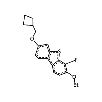 CCOc1ccc2c(sc3cc(OCC4CCC4)ccc32)c1F